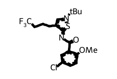 COc1ccc(Cl)cc1C(=O)/N=c1\sn(C(C)(C)C)cc1CCCC(F)(F)F